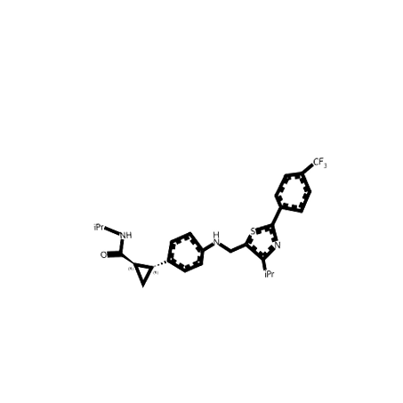 CC(C)NC(=O)[C@@H]1C[C@H]1c1ccc(NCc2sc(-c3ccc(C(F)(F)F)cc3)nc2C(C)C)cc1